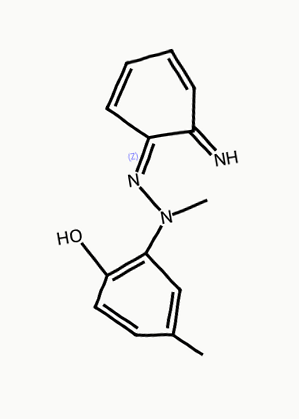 Cc1ccc(O)c(N(C)/N=C2/C=CC=CC2=N)c1